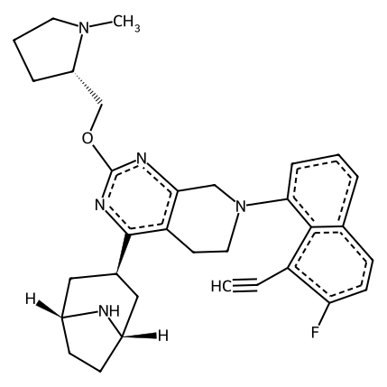 C#Cc1c(F)ccc2cccc(N3CCc4c(nc(OC[C@@H]5CCCN5C)nc4[C@@H]4C[C@H]5CC[C@@H](C4)N5)C3)c12